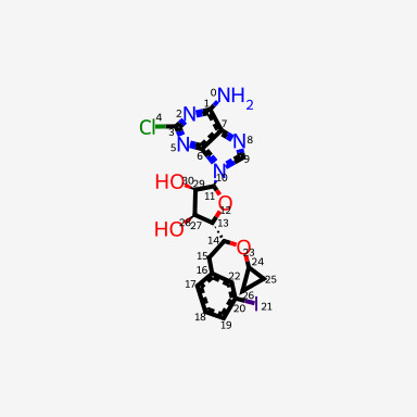 Nc1nc(Cl)nc2c1ncn2[C@@H]1O[C@H](C(Cc2cccc(I)c2)OC2CC2)[C@@H](O)[C@H]1O